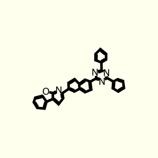 c1ccc(-c2nc(-c3ccccc3)nc(-c3ccc4cc(-c5ccc6c(n5)oc5ccccc56)ccc4c3)n2)cc1